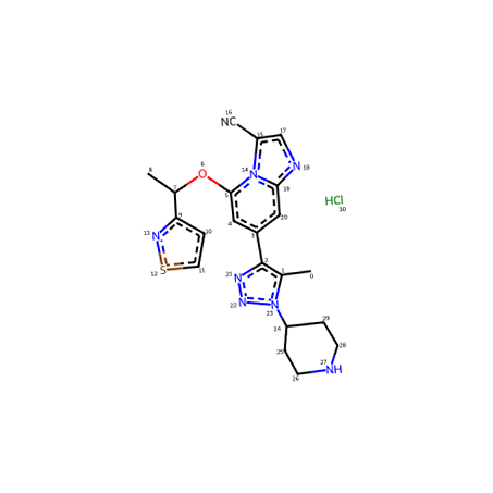 Cc1c(-c2cc(OC(C)c3ccsn3)n3c(C#N)cnc3c2)nnn1C1CCNCC1.Cl